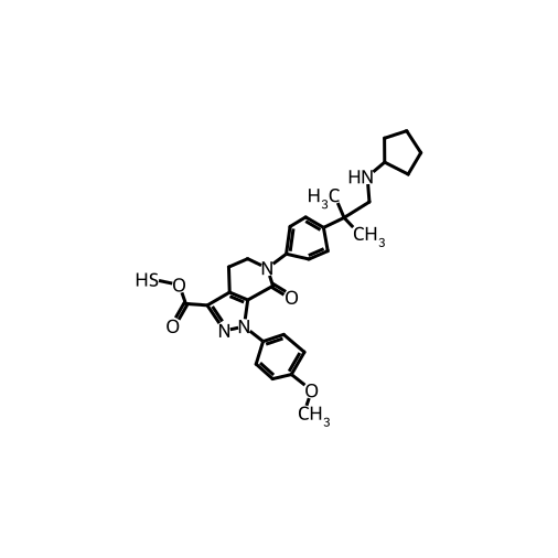 COc1ccc(-n2nc(C(=O)OS)c3c2C(=O)N(c2ccc(C(C)(C)CNC4CCCC4)cc2)CC3)cc1